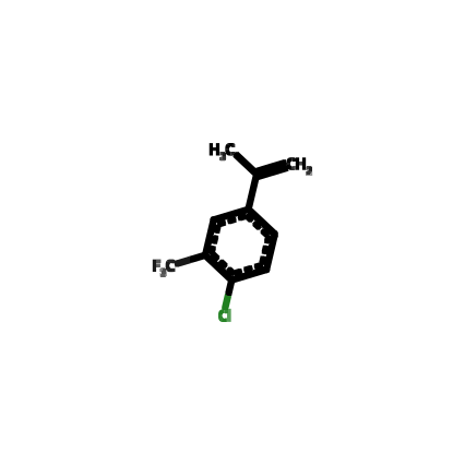 C=C(C)c1ccc(Cl)c(C(F)(F)F)c1